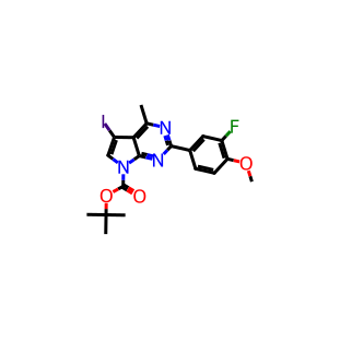 COc1ccc(-c2nc(C)c3c(I)cn(C(=O)OC(C)(C)C)c3n2)cc1F